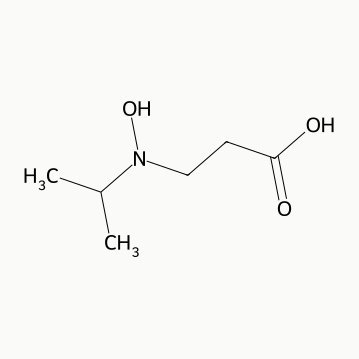 CC(C)N(O)CCC(=O)O